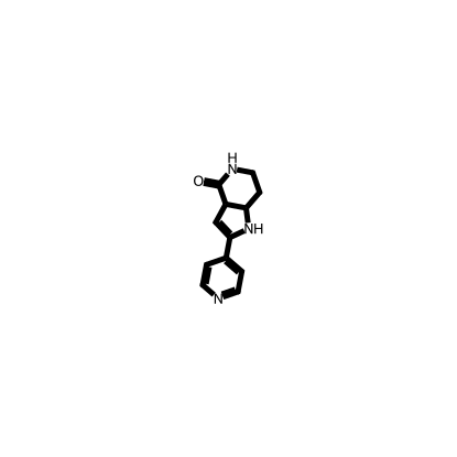 O=C1NCCC2NC(c3ccncc3)=CC12